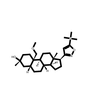 COC[C@]12CC[C@@](C)(O)C[C@H]1CC[C@H]1[C@@H]3CC[C@H](c4cc([Si](C)(C)C)on4)[C@@]3(C)CC[C@@H]12